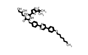 CCCCCCCOc1ccc(-c2cnc(-c3ccc(C[C@H](NC(=O)c4ccc(C(C)(C)C)s4)C(=O)NCC(O)CO)cc3)nc2)cc1